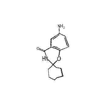 Nc1ccc2c(c1)C(=O)NC1(CCCCC1)O2